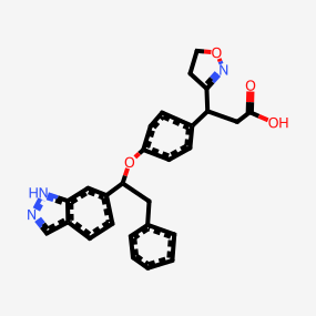 O=C(O)CC(C1=NOCC1)c1ccc(OC(Cc2ccccc2)c2ccc3cn[nH]c3c2)cc1